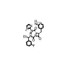 CCC(NC(=O)N1C(=O)[C@H](Cc2ccnc(N)c2)[C@H]1C(=O)N(C)c1nccn1C)c1cccc(F)c1